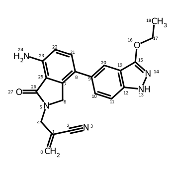 C=C(C#N)CN1Cc2c(-c3ccc4[nH]nc(OCC)c4c3)ccc(N)c2C1=O